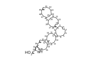 C1CCCCCCCCC1.C1CCCCCCCCC1.C1CCCCCCCCC1.C1CCCCCCCCC1.C1CCCCCCCCC1.C=C(C(=O)O)C(C)C